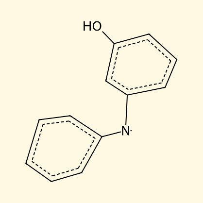 Oc1cccc([N]c2ccccc2)c1